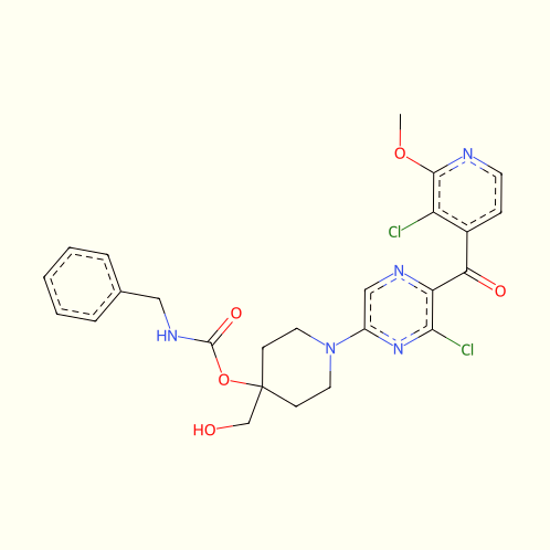 COc1nccc(C(=O)c2ncc(N3CCC(CO)(OC(=O)NCc4ccccc4)CC3)nc2Cl)c1Cl